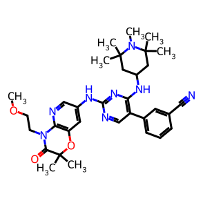 COCCN1C(=O)C(C)(C)Oc2cc(Nc3ncc(-c4cccc(C#N)c4)c(NC4CC(C)(C)N(C)C(C)(C)C4)n3)cnc21